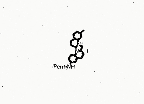 CCCC(C)Nc1ccc2c(ccc3c[n+]4c5cc(C)ccc5ccc4n32)c1.[I-]